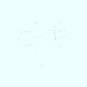 COCc1cccc(C)c1B1OC(C)(C)C(C)(C)O1